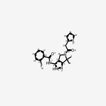 CC1(C)c2n[nH]c(NC(=O)c3ccccc3F)c2CN1C(=O)Cc1cccs1